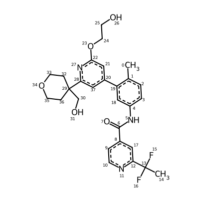 Cc1ccc(NC(=O)c2ccnc(C(C)(F)F)c2)cc1-c1cc(OCCO)nc(C2(CO)CCOCC2)c1